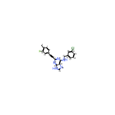 Cc1ccc(C#Cc2nc(NCc3cccc(Cl)c3)c3nc[nH]c3n2)cc1F